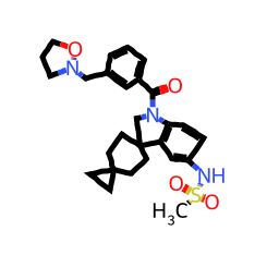 CS(=O)(=O)Nc1ccc2c(c1)C1(CCC3(CC3)CC1)CN2C(=O)c1cccc(CN2CCCO2)c1